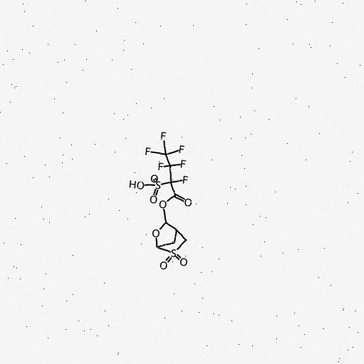 O=C(OC1OC2CC1CS2(=O)=O)C(F)(C(F)(F)C(F)(F)F)S(=O)(=O)O